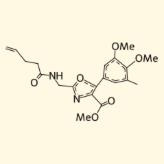 C=CCCC(=O)NCc1nc(C(=O)OC)c(-c2cc(C)c(OC)c(OC)c2)o1